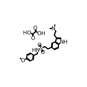 COc1ccc(CNS(=O)(=O)CCc2ccc3[nH]cc(CCN(C)C)c3c2)cc1.O=C(O)C(=O)O